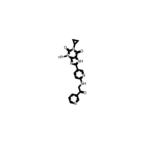 CCCn1c(=O)n(C2CC2)c(=O)c2[nH]c(-c3ccc(NCC(=O)c4cccnc4)nc3)nc21